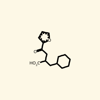 O=C(CC(CC1CCCCC1)C(=O)O)c1ccco1